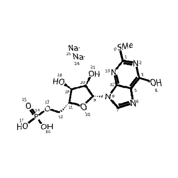 CSc1nc(O)c2ncn([C@@H]3O[C@H](COP(=O)(O)O)[C@@H](O)[C@H]3O)c2n1.[Na].[Na]